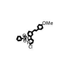 COc1ccc(C=Cc2ccc3c(c2)c2ccc(Cl)nc2n3S(=O)(=O)c2ccccc2)cc1